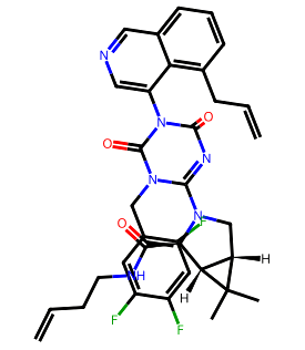 C=CCCNC(=O)[C@@H]1[C@@H]2[C@H](CN1c1nc(=O)n(-c3cncc4cccc(CC=C)c34)c(=O)n1Cc1cc(F)c(F)cc1F)C2(C)C